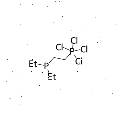 CCP(CC)CCP(Cl)(Cl)(Cl)Cl